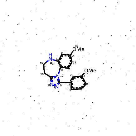 COc1cccc(-c2nnc3n2-c2ccc(OC)cc2NCC3)c1